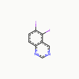 Ic1ccc2ncncc2c1I